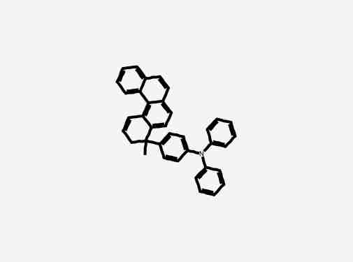 CC1(c2ccc(N(c3ccccc3)c3ccccc3)cc2)CC=Cc2c1ccc1ccc3ccccc3c21